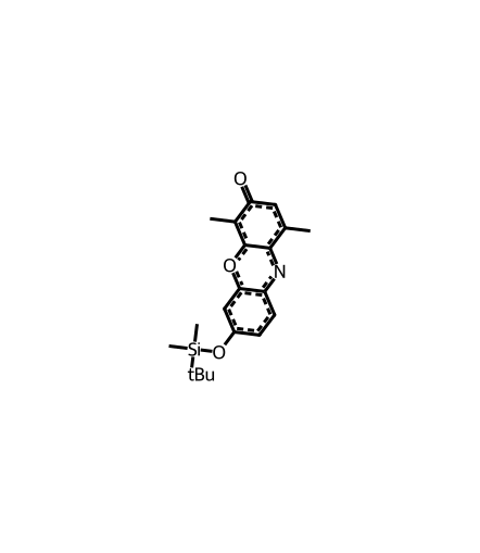 Cc1cc(=O)c(C)c2oc3cc(O[Si](C)(C)C(C)(C)C)ccc3nc1-2